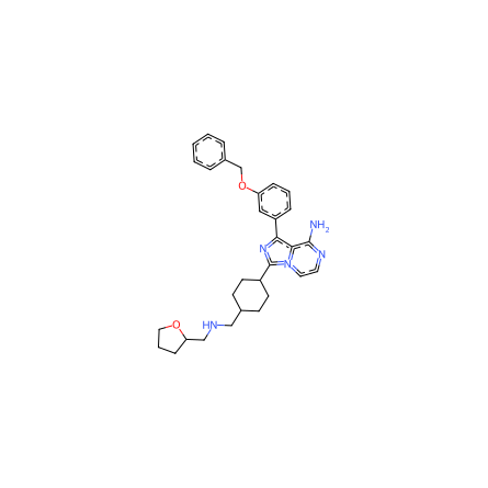 Nc1nccn2c(C3CCC(CNCC4CCCO4)CC3)nc(-c3cccc(OCc4ccccc4)c3)c12